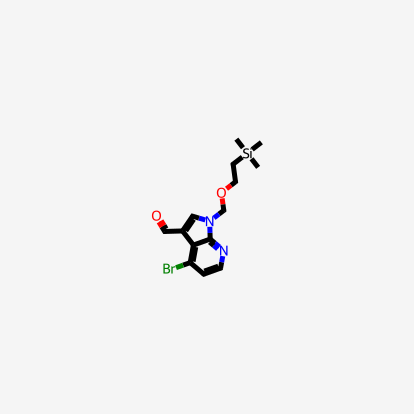 C[Si](C)(C)CCOCn1cc(C=O)c2c(Br)ccnc21